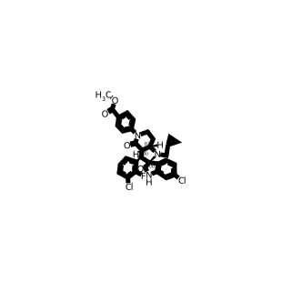 COC(=O)c1ccc(N2CC[C@H]3[C@@H](C2=O)[C@H](c2cccc(Cl)c2F)[C@]2(C(=O)Nc4cc(Cl)ccc42)N3CC2CC2)cc1